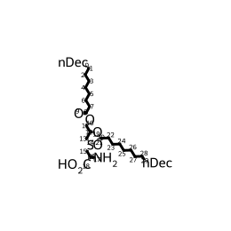 CCCCCCCCCCCCCCCCCC(=O)OCC(CSC[C@H](N)C(=O)O)OC(=O)CCCCCCCCCCCCCCCCC